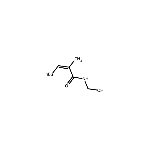 CCCCC=C(C)C(=O)NCO